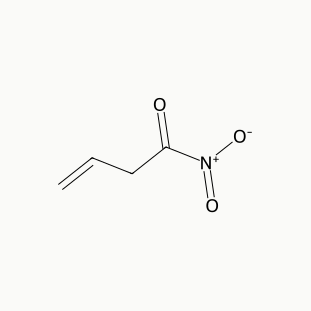 C=CCC(=O)[N+](=O)[O-]